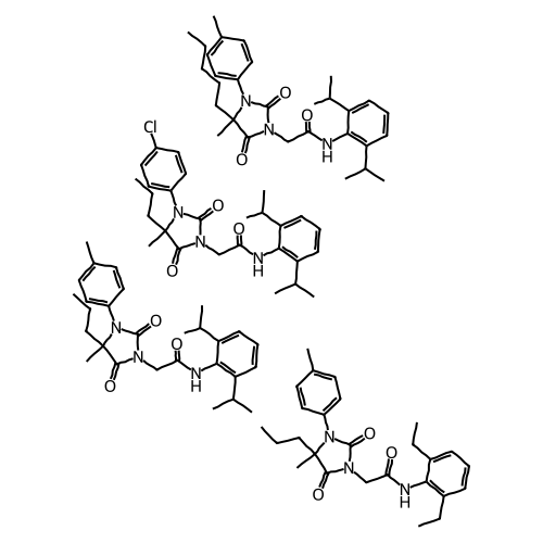 CCCC1(C)C(=O)N(CC(=O)Nc2c(C(C)C)cccc2C(C)C)C(=O)N1c1ccc(C)cc1.CCCC1(C)C(=O)N(CC(=O)Nc2c(C(C)C)cccc2C(C)C)C(=O)N1c1ccc(Cl)cc1.CCCC1(C)C(=O)N(CC(=O)Nc2c(CC)cccc2CC)C(=O)N1c1ccc(C)cc1.CCCCCC1(C)C(=O)N(CC(=O)Nc2c(C(C)C)cccc2C(C)C)C(=O)N1c1ccc(C)cc1